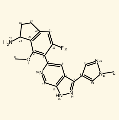 COc1c(-c2cc3c(-c4cnn(C)c4)n[nH]c3cn2)c(F)cc2c1C(N)CC2